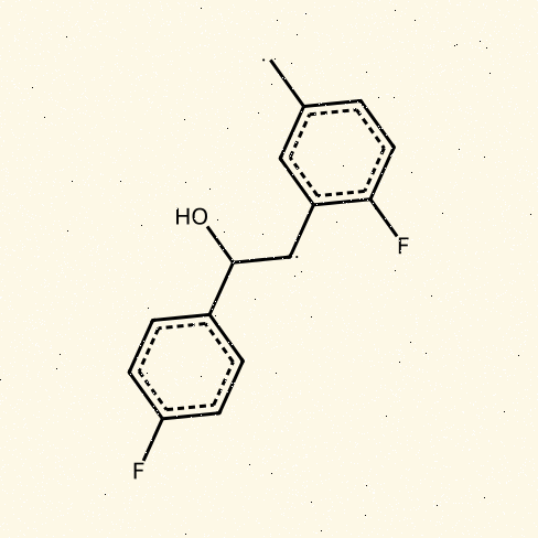 [CH2]c1ccc(F)c([CH]C(O)c2ccc(F)cc2)c1